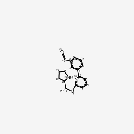 C[C@@H](Oc1cccc(-c2cccc(C=O)c2)n1)C1CCCN1